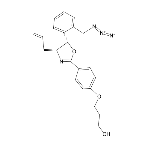 C=CC[C@@H]1N=C(c2ccc(OCCCO)cc2)O[C@H]1c1ccccc1CN=[N+]=[N-]